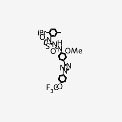 COc1cc(-c2ncn(-c3ccc(OC(F)(F)F)cc3)n2)ccc1NC(=O)/N=C1\SCC(=O)N1c1cc(C)ccc1C(C)C